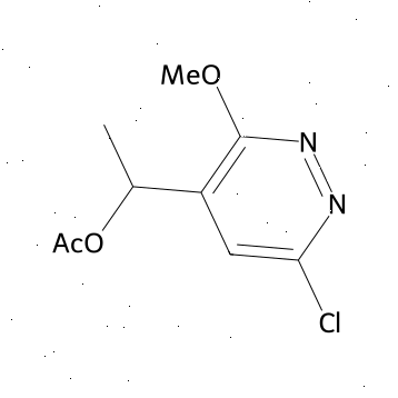 COc1nnc(Cl)cc1C(C)OC(C)=O